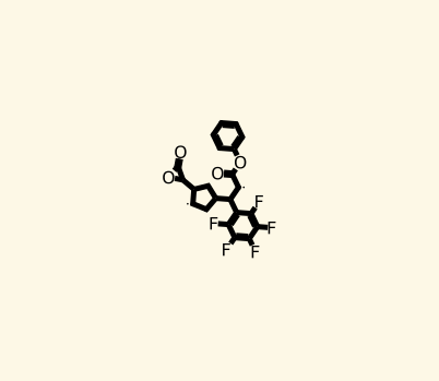 O=C([CH]C(c1c(F)c(F)c(F)c(F)c1F)C1C[CH]C(C2OC2=O)C1)Oc1ccccc1